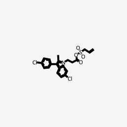 C=CCS(=O)(=O)OC(=O)CCn1c(C)c(-c2ccc(Cl)cc2)c2ccc(Cl)cc21